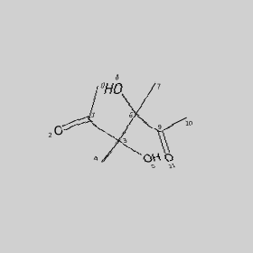 CC(=O)C(C)(O)C(C)(O)C(C)=O